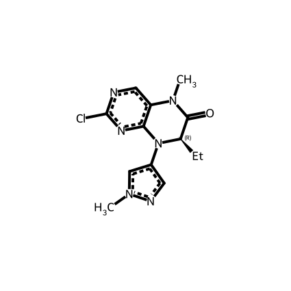 CC[C@@H]1C(=O)N(C)c2cnc(Cl)nc2N1c1cnn(C)c1